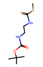 CSC(=S)NCCNC(=O)OC(C)(C)C